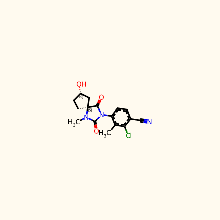 Cc1c(N2C(=O)N(C)[C@]3(CC[C@H](O)C3)C2=O)ccc(C#N)c1Cl